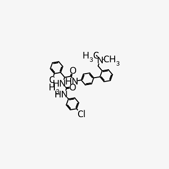 Cc1ccccc1C(NC(=O)Nc1ccc(Cl)cc1)C(=O)Nc1ccc(-c2ccccc2CN(C)C)cc1